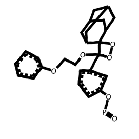 O=POc1cccc(C2(OCCOc3ccccc3)OOC23C2CC4CC(C2)CC3C4)c1